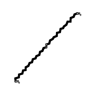 CCCCCCCCCCCCCCCCCCOOCCCCCCCCCCCCCCCCC